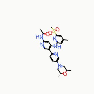 CC(=O)Nc1cc(Nc2cc(C)cc(S(C)(=O)=O)n2)c(-c2ccc(N3C[C@@H](C)O[C@H](C)C3)cn2)cn1